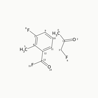 CC(=O)CF.Cc1c(F)cccc1C(=O)F